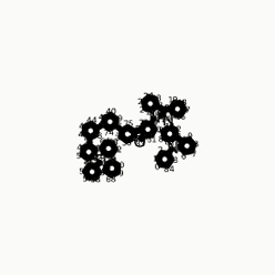 c1ccc(-n2c3ccccc3c3cc(-n4c5ccccc5c5c6ccccc6n(-c6ccc7oc8ccc(-c9cccc(-c%10cccc(-c%11cccc([Si](c%12ccccc%12)(c%12ccccc%12)c%12ccccc%12)c%11)c%10)c9)cc8c7c6)c54)ccc32)cc1